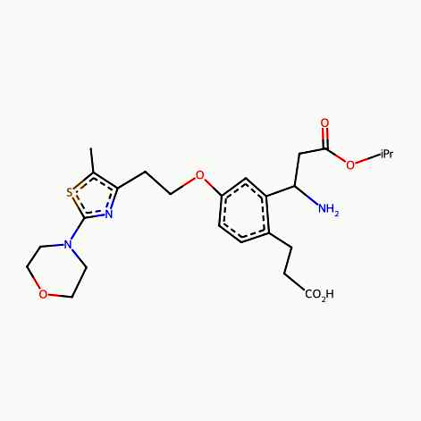 Cc1sc(N2CCOCC2)nc1CCOc1ccc(CCC(=O)O)c(C(N)CC(=O)OC(C)C)c1